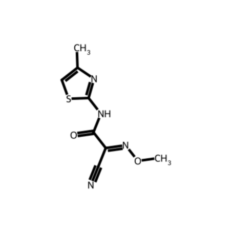 CON=C(C#N)C(=O)Nc1nc(C)cs1